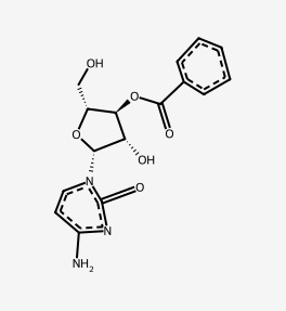 Nc1ccn([C@@H]2O[C@H](CO)[C@@H](OC(=O)c3ccccc3)[C@@H]2O)c(=O)n1